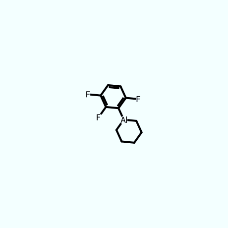 Fc1ccc(F)[c]([Al]2[CH2]CCC[CH2]2)c1F